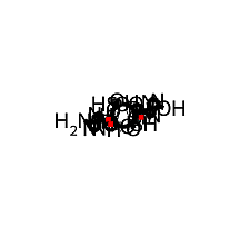 Nc1ncnc2c1ncn2[C@@H]1O[C@@H]2COP(=O)(S)O[C@@H]3[C@@H](COP(=O)(S)O[C@@H]1[C@@H]2O)OC[C@@]3(F)n1cnc2c(O)ncnc21